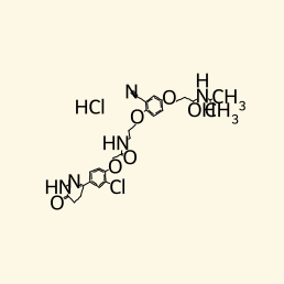 CC(C)NC(O)CCOc1ccc(OCCCNC(=O)COc2ccc(C3=NNC(=O)CC3)cc2Cl)c(C#N)c1.Cl